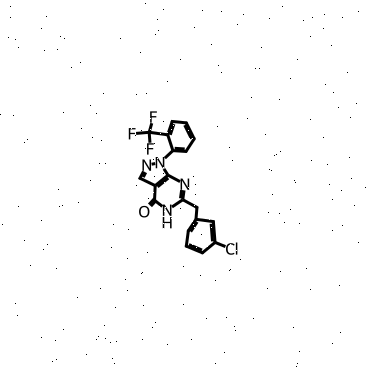 O=c1[nH]c(Cc2cccc(Cl)c2)nc2c1cnn2-c1ccccc1C(F)(F)F